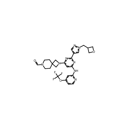 O=CN1CCC2(CC1)CN(c1cc(Nc3cc(OC(F)(F)F)ccn3)nc(-c3cnn(CC4COC4)c3)n1)C2